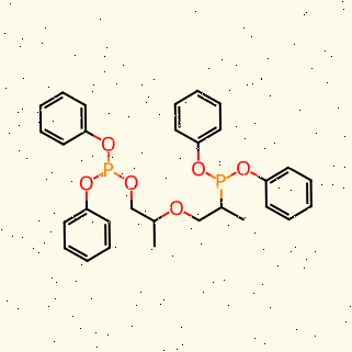 CC(COP(Oc1ccccc1)Oc1ccccc1)OCC(C)P(Oc1ccccc1)Oc1ccccc1